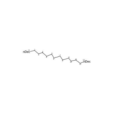 CCCCCCCCCCCC[CH]CCCCCCCCCCCCCCCCCCC